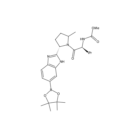 COC(=O)N[C@H](C(=O)N1C(C)CC[C@H]1c1nc2ccc(B3OC(C)(C)C(C)(C)O3)cc2[nH]1)C(C)C